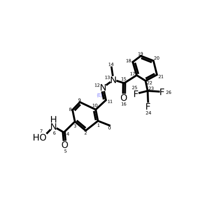 Cc1cc(C(=O)NO)ccc1/C=N/N(C)C(=O)c1ccccc1C(F)(F)F